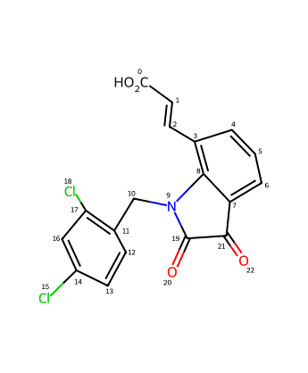 O=C(O)/C=C/c1cccc2c1N(Cc1ccc(Cl)cc1Cl)C(=O)C2=O